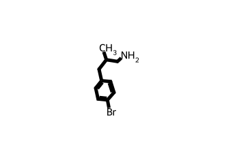 CC(CN)Cc1ccc(Br)cc1